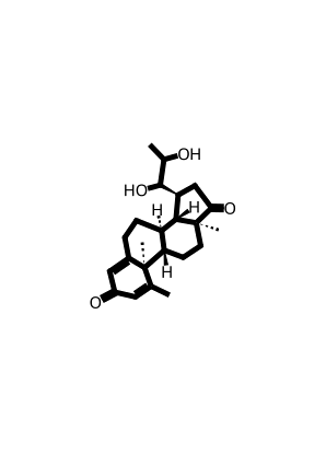 CC1=CC(=O)C=C2CC[C@H]3[C@@H]4[C@@H](C(O)C(C)O)CC(=O)[C@@]4(C)CC[C@@H]3[C@@]12C